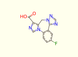 O=C(O)c1ncn2c1Cn1ncnc1-c1cc(F)ccc1-2